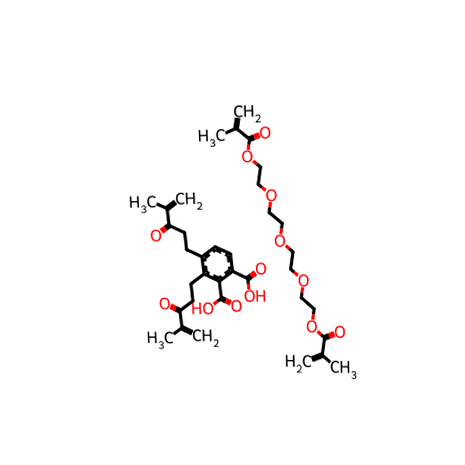 C=C(C)C(=O)CCc1ccc(C(=O)O)c(C(=O)O)c1CCC(=O)C(=C)C.C=C(C)C(=O)OCCOCCOCCOCCOC(=O)C(=C)C